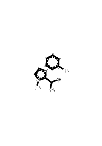 CC(O)c1nccn1C.Cc1ccccc1